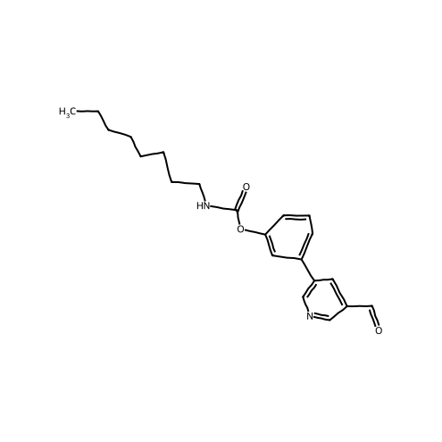 CCCCCCCCNC(=O)Oc1cccc(-c2cncc(C=O)c2)c1